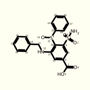 NS(=O)(=O)c1cc(C(=O)O)cc(NCc2ccccc2)c1[S+]([O-])c1ccccc1